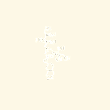 OC[C@@H](O)[C@H](O)[C@H](O)CN(CCOc1ccc2c(c1)CSSC2)C[C@@H](O)[C@@H](O)[C@H](O)CO